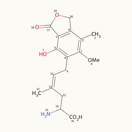 COc1c(C)c2c(c(O)c1CC=C(C)CC(N)C(=O)O)C(=O)OC2